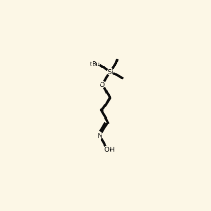 CC(C)(C)[Si](C)(C)OCC/C=N/O